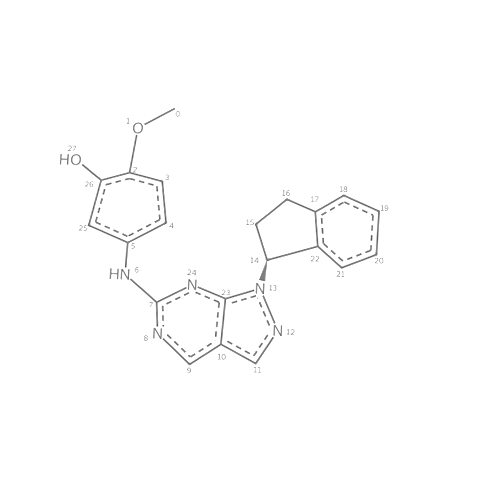 COc1ccc(Nc2ncc3cnn([C@H]4CCc5ccccc54)c3n2)cc1O